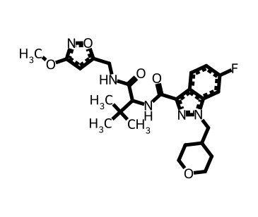 COc1cc(CNC(=O)C(NC(=O)c2nn(CC3CCOCC3)c3cc(F)ccc23)C(C)(C)C)on1